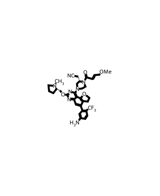 COC/C=C/C(=O)N1CCN(c2nc(OC[C@@H]3CCCN3C)nc3cc(-c4cc(N)ccc4C(F)(F)F)c4c(c23)OCC4)C[C@@H]1CC#N